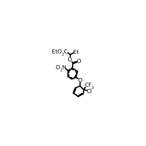 CCOC(=O)C(CC)OC(=O)c1cc(OC2C=CC=CC2(Cl)C(F)(F)F)ccc1[N+](=O)[O-]